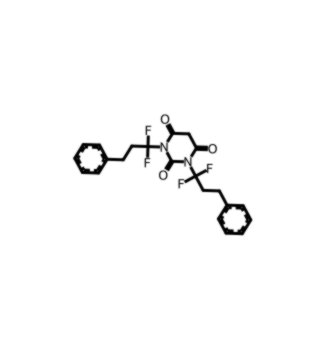 O=C1CC(=O)N(C(F)(F)CCc2ccccc2)C(=O)N1C(F)(F)CCc1ccccc1